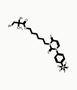 CC(C)CC(C)(C(=O)OCCCCCCn1c(=S)ccn(-c2ccc(S(F)(F)(F)(F)F)cc2)c1=S)C(C)C